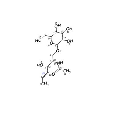 C/C=C/[C@H](O)[C@H](COC1OC(CO)C(O)C(O)C1O)NC(C)=O